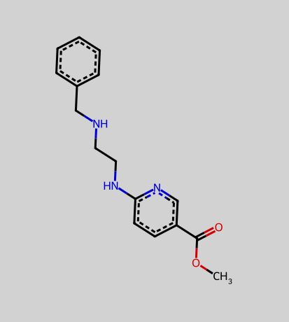 COC(=O)c1ccc(NCCNCc2ccccc2)nc1